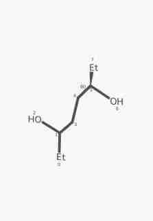 CCC(O)CC[C@H](O)CC